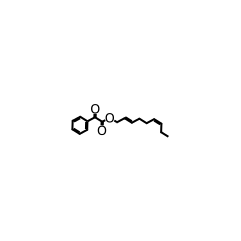 CC/C=C\CC/C=C/COC(=O)C(=O)c1ccccc1